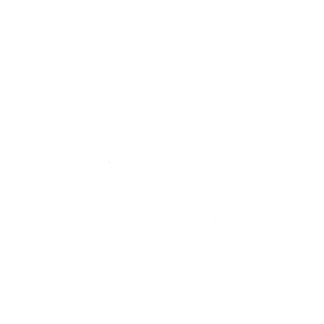 C1=Cc2c(sc3ccccc23)C(c2ccc3c4ccc(-c5cccc6c5sc5ccccc56)cc4c4cccc5c6ccccc6c6cccc(c3c2)c6c45)C1